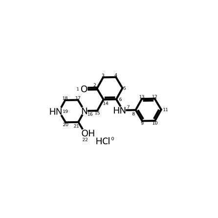 Cl.O=C1CCCC(Nc2ccccc2)=C1CN1CCNCC1O